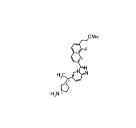 COCCc1ccc2ccc(-c3nnc4ccc([C@H](C)N5CC[C@H](N)C5)cn34)nc2c1F